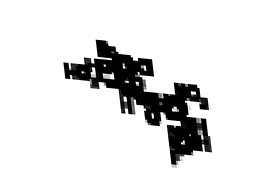 O=C(O)CC(NC(=O)CNC(=O)c1cc(NC2=NCC(F)CN2)cc([N+](=O)[O-])c1)c1cc(Cl)cc(Br)c1O